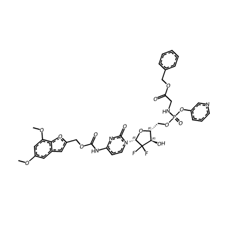 COc1cc(OC)c2oc(COC(=O)Nc3ccn([C@@H]4O[C@H](COP(=O)(NCC(=O)OCc5ccccc5)Oc5cccnc5)[C@@H](O)C4(F)F)c(=O)n3)cc2c1